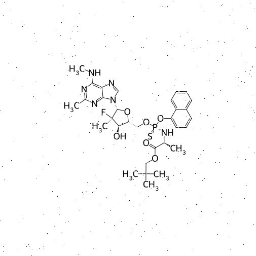 CNc1nc(C)nc2c1ncn2[C@@H]1O[C@H](CO[P@@](=S)(N[C@@H](C)C(=O)OCC(C)(C)C)Oc2cccc3ccccc23)[C@@H](O)[C@@]1(C)F